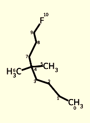 CCCCC(C)(C)CCCF